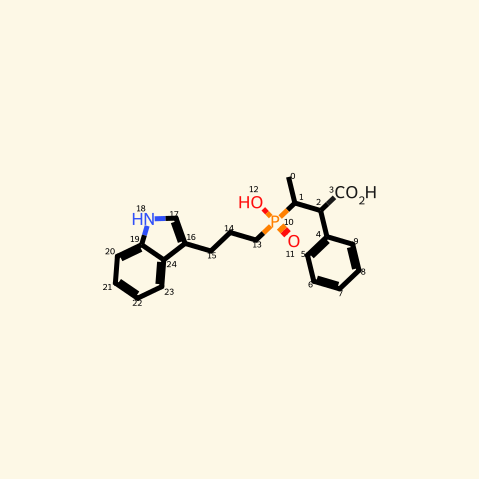 CC(C(C(=O)O)c1ccccc1)P(=O)(O)CCCc1c[nH]c2ccccc12